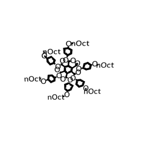 CCCCCCCCOc1ccc(OC(=O)c2c(C(=O)Oc3ccc(OCCCCCCCC)cc3)c(C(=O)Oc3ccc(OCCCCCCCC)cc3)c(C(=O)Oc3ccc(OCCCCCCCC)cc3)c(C(=O)Oc3ccc(OCCCCCCCC)cc3)c2C(=O)Oc2ccc(OCCCCCCCC)cc2)cc1